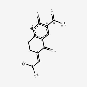 CN(C)C=C1CCc2[nH]c(=O)c(C(N)=O)cc2C1=O